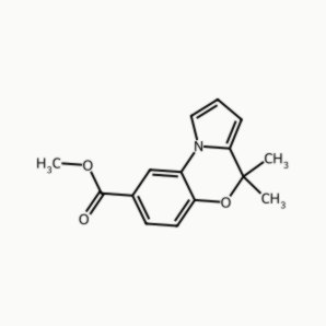 COC(=O)c1ccc2c(c1)-n1cccc1C(C)(C)O2